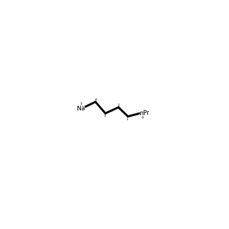 CCCCCC[CH2][Na]